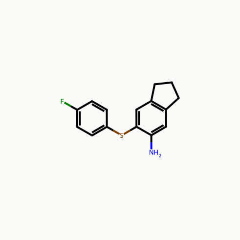 Nc1cc2c(cc1Sc1ccc(F)cc1)CCC2